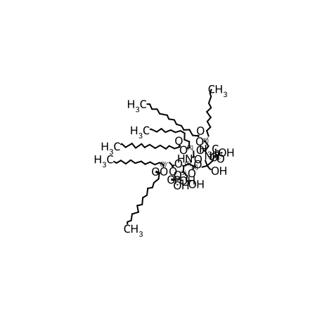 CCCCCCCCCCCCCC(=O)O[C@H](CCCCCCCCCCC)CC(=O)NCC(CO)(CO[C@@H]1OC(CO)[C@@H](OP(=O)(O)O)C(OC(=O)C[C@@H](CCCCCCCCCCC)OC(=O)CCCCCCCCCCCCC)[C@@H]1NC(=O)C[C@@H](CCCCCCCCCCC)OC(=O)CCCCCCCCCCCCC)COP(C)(=O)O